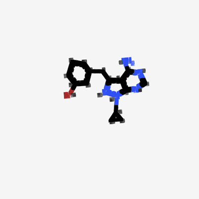 Nc1ncnc2c1c(Cc1cccc(Br)c1)nn2C1CC1